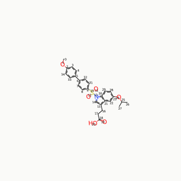 COc1ccc(-c2ccc(S(=O)(=O)n3cc(CCC(=O)O)c4cc(OC(C)C)ccc43)cc2)cc1